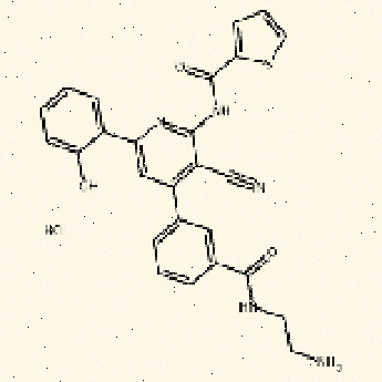 Cl.N#Cc1c(-c2cccc(C(=O)NCCN)c2)cc(-c2ccccc2O)nc1NC(=O)c1cccs1